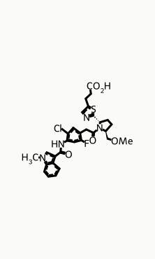 COC[C@@H]1CC[C@@H](c2ncc(CCC(=O)O)s2)N1C(=O)Cc1cc(Cl)c(NC(=O)c2cn(C)c3ccccc23)cc1F